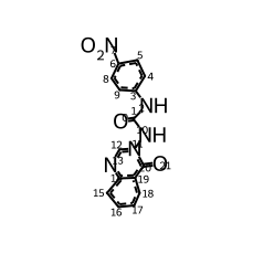 O=C(Nc1ccc([N+](=O)[O-])cc1)Nn1cnc2ccccc2c1=O